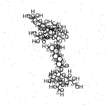 CC(=O)OC1C(C)OC(OC(=O)[C@]23CCC(C)(C)CC2C2=CCC4[C@@]5(C)CC[C@H](OC(O)C(OC(O)/C(O)=C(\O)C(O)CCO)C(OC(O)C(O)C(O)C(C)O)C(O)CC(=O)O)[C@@](C)(C=O)C5CC[C@@]4(C)[C@]2(C)C[C@H]3O)C(OC2OC(C)C(OC(O)/C(O)=C(/OC3OCC(O)(CO)C3O)C(C)O)C(OC3OC(CO)C(O)C(O)C3O)C2O)C1OC(O)C(O)(O)C(C)C(C)O